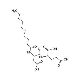 CCCCCCCCCC(=O)NC(CC(=O)O)C(=O)NC(CCC(=O)O)C(=O)O